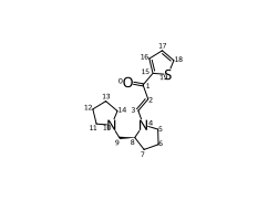 O=C(/C=C/N1CCC[C@H]1CN1CCCC1)c1cccs1